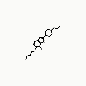 CCCCOc1ccc2cc(C3CCC(CCC)CC3)sc2c1F